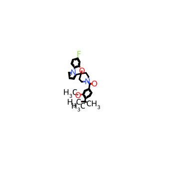 COc1cc(C(=O)N2CCC3(CC2)Oc2cc(F)ccc2-n2cccc23)ccc1C(C)(C)C